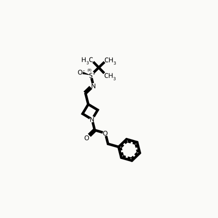 CC(C)(C)[S@+]([O-])N=CC1CN(C(=O)OCc2ccccc2)C1